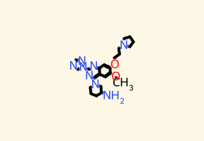 COc1cc2c(N3CCCC(N)C3)nc(-n3cncn3)nc2cc1OCCCN1CCCC1